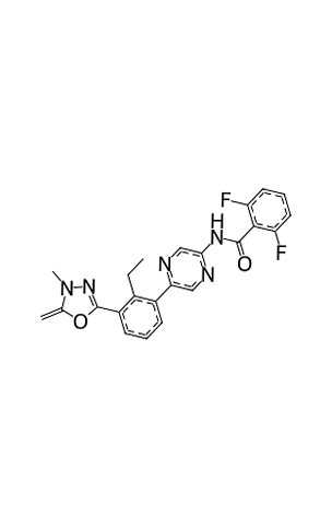 C=C1OC(c2cccc(-c3cnc(NC(=O)c4c(F)cccc4F)cn3)c2CC)=NN1C